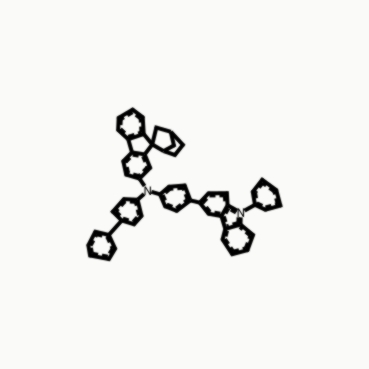 c1ccc(-c2ccc(N(c3ccc(-c4ccc5c(c4)c4ccccc4n5-c4ccccc4)cc3)c3ccc4c(c3)C3(CC5CCC3C5)c3ccccc3-4)cc2)cc1